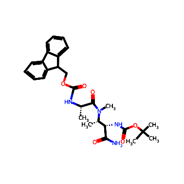 C[C@H](NC(=O)OCC1c2ccccc2-c2ccccc21)C(=O)N(C)[C@@H](C)[C@H](NC(=O)OC(C)(C)C)C(N)=O